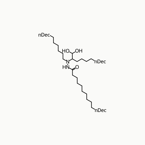 CCCCCCCCCCCCCCCCCCCC(=O)NN(CCCCCCCCCCCCCCCC)C(CCCCCCCCCCCCCC)C(O)O